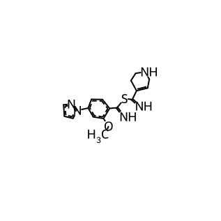 COc1cc(-n2cccn2)ccc1C(=N)SC(=N)C1=CCNCC1